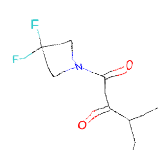 CC(C)C(=O)C(=O)N1CC(F)(F)C1